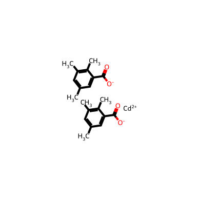 Cc1cc(C)c(C)c(C(=O)[O-])c1.Cc1cc(C)c(C)c(C(=O)[O-])c1.[Cd+2]